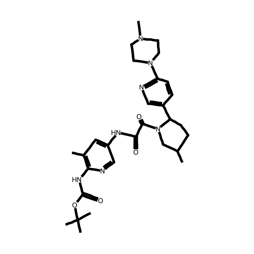 Cc1cc(NC(=O)C(=O)N2CC(C)CCC2c2ccc(N3CCN(C)CC3)nc2)cnc1NC(=O)OC(C)(C)C